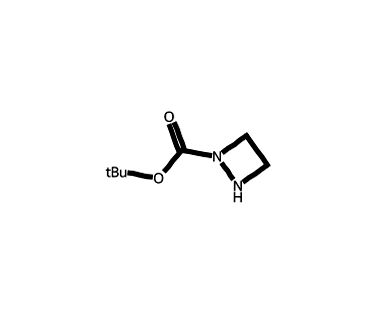 CC(C)(C)OC(=O)N1CCN1